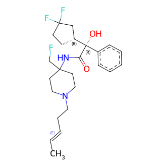 C/C=C/CCN1CCC(CF)(NC(=O)[C@](O)(c2ccccc2)[C@@H]2CCC(F)(F)C2)CC1